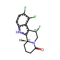 O=C1CCC[C@@H]2c3[nH]c4ccc(F)c(F)c4c3[C@@H](F)CN12